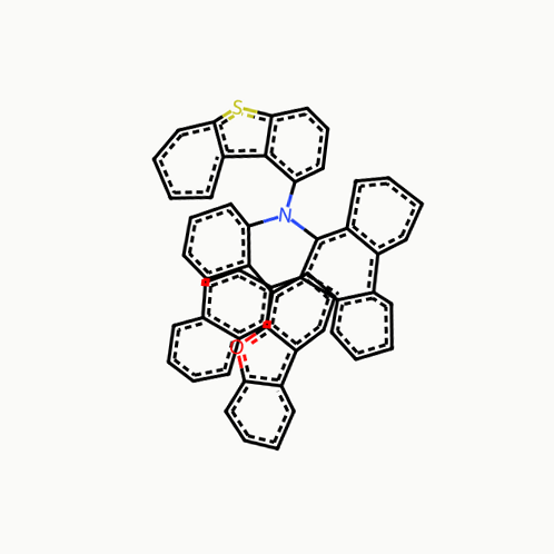 c1ccc(N(c2c(-c3ccc4ccccc4c3)c3ccccc3c3ccccc23)c2cccc3sc4ccccc4c23)c(-c2cccc3c2oc2ccccc23)c1